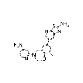 Cc1cc(-c2cnc3sc(N)nc3c2)cc2c1OCCN(c1cc(N)ccn1)C2